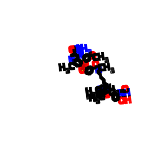 COc1cccc(Nc2c(C(N)=O)cnc3c(C)cc(S(=O)(=O)c4cccc(C(=O)N(C)CCCCCCNC[C@H](O[Si](C)(C)C(C)(C)C)c5ccc(O)c(NC=O)c5)c4)cc23)c1